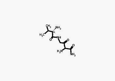 CC(C)[C@H](N)C(=O)NCC(=O)C(N)C(N)=O